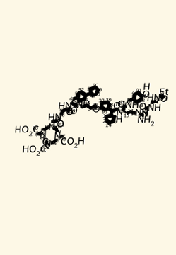 CCC(=O)NCCNC(=O)/N=C(/N)NCCC[C@@H](NC(=O)C(c1ccccc1)c1cccc(OCCCCNC(=O)[C@@H](Cc2ccc(-c3ccccc3)cc2)NC(=O)CCNC(=O)CN2CCN(CC(=O)O)CCN(CC(=O)O)CCN(CC(=O)O)CC2)c1)C(=O)NCc1ccc(O)cc1